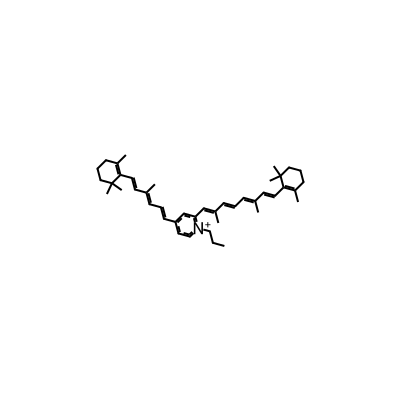 CCC[n+]1ccc(/C=C/C=C(C)/C=C/C2=C(C)CCCC2(C)C)cc1/C=C(C)/C=C/C=C(C)/C=C/C1=C(C)CCCC1(C)C